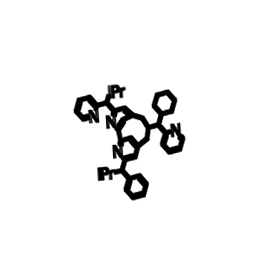 CC(C)C(c1ccccc1)c1cc2cc(n1)-c1cc(cc(C(c3ccccn3)C(C)C)n1)CC(C(c1ccccn1)C1CCCCC1)C2